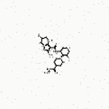 CC(C)(C)NC(=O)C1CCN(C2C(F)CNCC2NC(=O)c2c(N)nn3c2NCC(F)C3)CC1